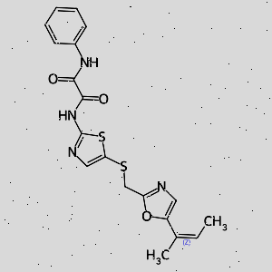 C/C=C(/C)c1cnc(CSc2cnc(NC(=O)C(=O)Nc3ccccc3)s2)o1